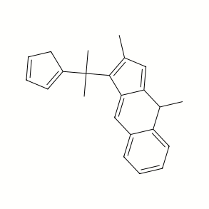 CC1=C(C(C)(C)C2=CC=CC2)C2=Cc3ccccc3C(C)C2=C1